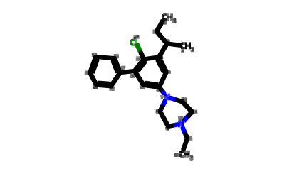 CCC(C)c1cc(N2CCN(CC)CC2)cc(-c2ccccc2)c1Cl